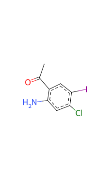 CC(=O)c1cc(I)c(Cl)cc1N